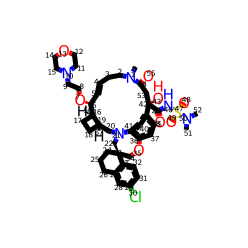 CN1CC/C=C/[C@H](OCCN2CCOCC2)[C@@H]2CC[C@H]2CN2C[C@@]3(CCCc4cc(Cl)ccc43)COc3ccc(cc32)[C@@](O)(C(=O)NS(=O)(=O)N(C)C)CC1=O